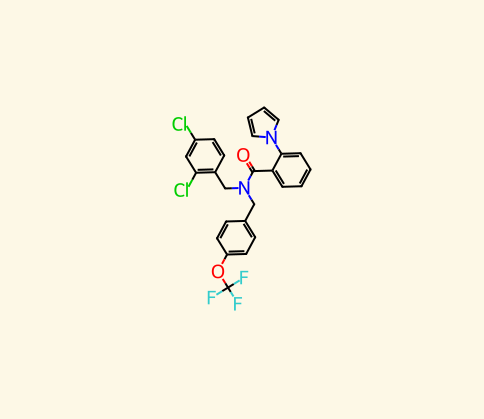 O=C(c1ccccc1-n1cccc1)N(Cc1ccc(OC(F)(F)F)cc1)Cc1ccc(Cl)cc1Cl